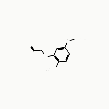 C=CCOc1cc(NC(=O)O)ccc1OC